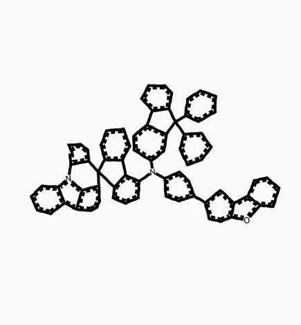 c1ccc(C2(c3ccccc3)c3ccccc3-c3ccc(N(c4ccc(-c5ccc6oc7ccccc7c6c5)cc4)c4cccc5c4-c4ccccc4C54c5ccccc5-n5c6ccccc6c6cccc4c65)cc32)cc1